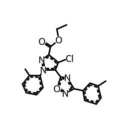 CCOC(=O)c1nn(-c2ccccc2C)c(-c2nc(-c3cccc(C)c3)no2)c1Cl